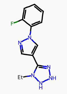 CCN1NNN=C1c1cnn(-c2ccccc2F)c1